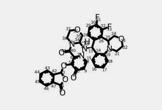 O=C1OC(Oc2c3n(ccc2=O)N([C@@H]2c4ccccc4N4CCOCC4c4c2ccc(F)c4F)[C@@H]2COCCN2C3=O)c2ccccc21